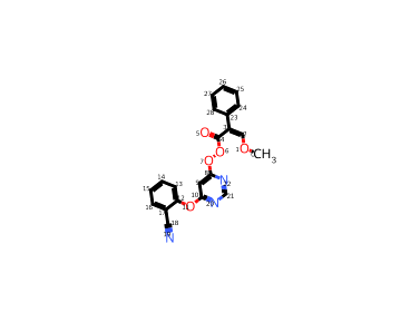 COC=C(C(=O)OOc1cc(Oc2ccccc2C#N)ncn1)c1ccccc1